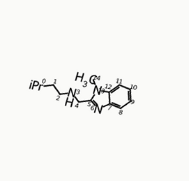 CC(C)CCNCc1nc2ccccc2n1C